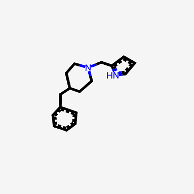 c1ccc(CC2CCN(Cc3ccc[nH]3)CC2)cc1